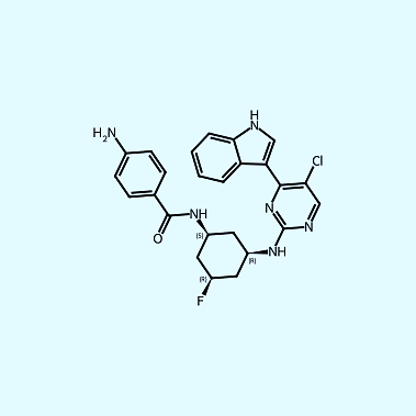 Nc1ccc(C(=O)N[C@@H]2C[C@H](F)C[C@H](Nc3ncc(Cl)c(-c4c[nH]c5ccccc45)n3)C2)cc1